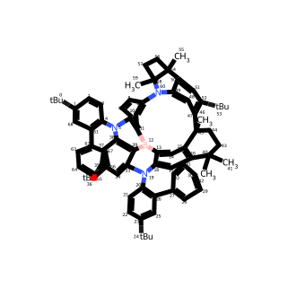 CC(C)(C)c1ccc(N2c3ccc4cc3B3c5cc6c(cc5N(c5ccc(C(C)(C)C)cc5-c5ccccc5)c5cc(C(C)(C)C)cc2c53)C(C)(C)CCC6(C)c2cc3c(cc2C(C)(C)C)C2(C)CCC2(C)N43)c(-c2ccccc2)c1